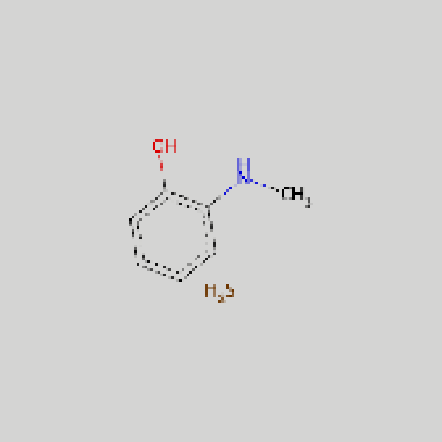 CNc1ccccc1O.S